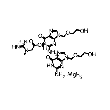 CN(CC(=O)O)C(=N)N.Nc1nc2c(ncn2COCCO)c(=O)[nH]1.Nc1nc2c(ncn2COCCO)c(=O)[nH]1.[MgH2]